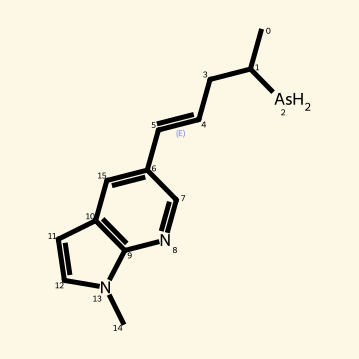 CC([AsH2])C/C=C/c1cnc2c(ccn2C)c1